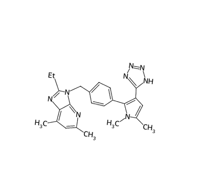 CCc1nc2c(C)cc(C)nc2n1Cc1ccc(-c2c(-c3nnn[nH]3)cc(C)n2C)cc1